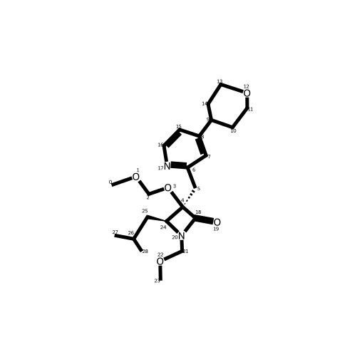 COCO[C@@]1(Cc2cc(C3CCOCC3)ccn2)C(=O)N(COC)[C@H]1CC(C)C